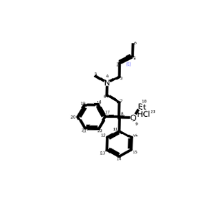 C/C=C/CN(C)CCC(OCC)(c1ccccc1)c1ccccc1.Cl